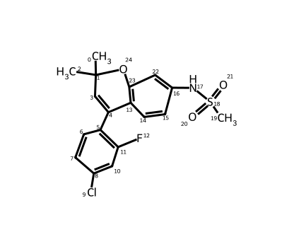 CC1(C)C=C(c2ccc(Cl)cc2F)c2ccc(NS(C)(=O)=O)cc2O1